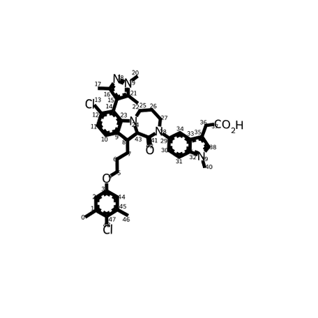 Cc1cc(OCCCC2c3ccc(Cl)c(-c4c(C)nn(C)c4C)c3N3CCCN(c4ccc5c(c4)c(CC(=O)O)cn5C)C(=O)C23)cc(C)c1Cl